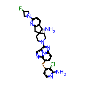 Nc1nccc(Sc2ccc3nc(N4CCC5(CC4)Cc4nc(N6CC(F)C6)ccc4[C@H]5N)c4cnc2n34)c1Cl